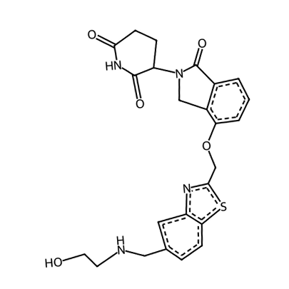 O=C1CCC(N2Cc3c(OCc4nc5cc(CNCCO)ccc5s4)cccc3C2=O)C(=O)N1